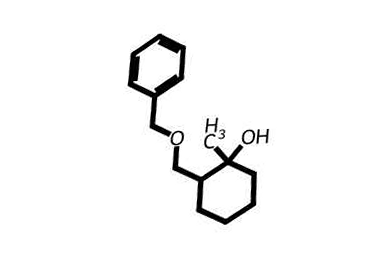 CC1(O)CCCCC1COCc1ccccc1